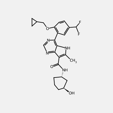 Cc1[nH]c2c(-c3cc(C(F)F)ccc3OCC3CC3)ncnc2c1C(=O)N[C@H]1CCC[C@H](O)C1